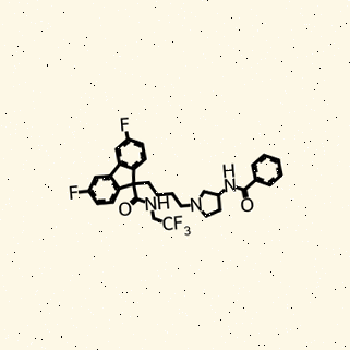 O=C(NC1CCN(CCCCC2(C(=O)NCC(F)(F)F)c3ccc(F)cc3-c3cc(F)ccc32)C1)c1ccccc1